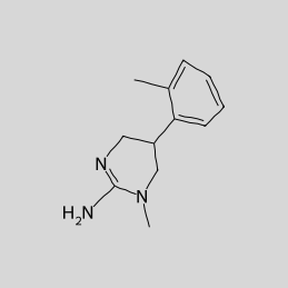 Cc1ccccc1C1CN=C(N)N(C)C1